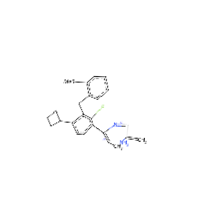 C=C(N)/C=N\C(=C/C)c1ccc(C2CCC2)c(Cc2ccccc2SC)c1F